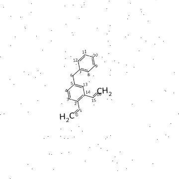 C=Cc1ccc(Cc2ccccc2)cc1C=C